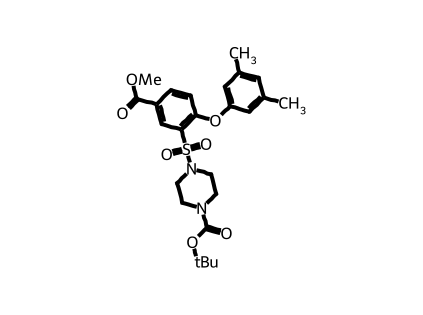 COC(=O)c1ccc(Oc2cc(C)cc(C)c2)c(S(=O)(=O)N2CCN(C(=O)OC(C)(C)C)CC2)c1